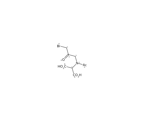 CC(=O)N(CC(=O)CBr)C(C(=O)O)C(=O)O